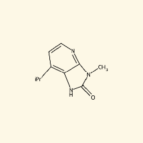 CC(C)c1ccnc2c1[nH]c(=O)n2C